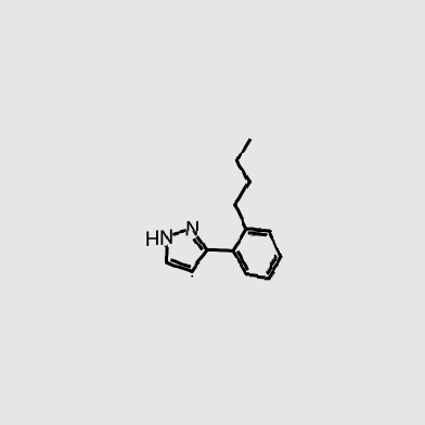 CCCCc1ccccc1-c1[c]c[nH]n1